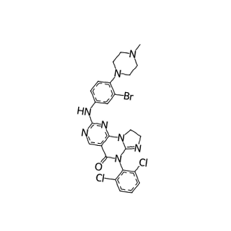 CN1CCN(c2ccc(Nc3ncc4c(n3)N3CCN=C3N(c3c(Cl)cccc3Cl)C4=O)cc2Br)CC1